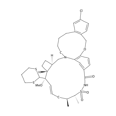 CO[C@@]1(C2SCCCS2)/C=C/C[C@H](C)[C@@H](C)S(=O)(=O)NC(=O)c2ccc3c(c2)N(CCCCc2cc(Cl)ccc2CO3)C[C@@H]2CC[C@H]21